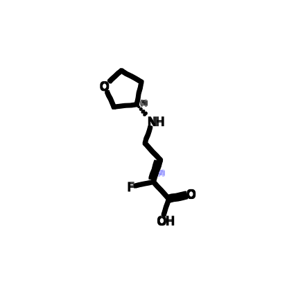 O=C(O)/C(F)=C/CN[C@H]1CCOC1